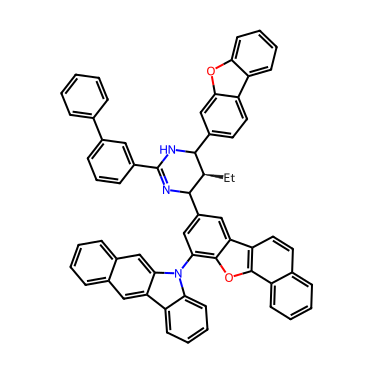 CC[C@H]1C(c2cc(-n3c4ccccc4c4cc5ccccc5cc43)c3oc4c5ccccc5ccc4c3c2)N=C(c2cccc(-c3ccccc3)c2)NC1c1ccc2c(c1)oc1ccccc12